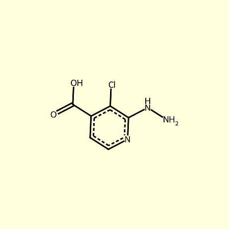 NNc1nccc(C(=O)O)c1Cl